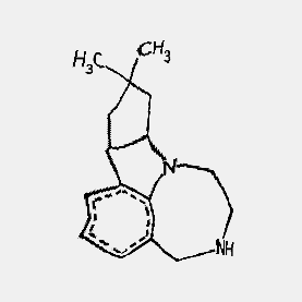 CC1(C)CC2c3cccc4c3N(CCNC4)C2C1